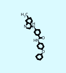 Cc1ccc2c(Nc3ccc(C(=O)Nc4ccc(Oc5ccccc5)cc4)cc3)ccnc2c1